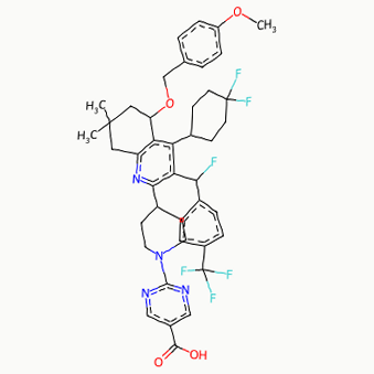 COc1ccc(COC2CC(C)(C)Cc3nc(C4CCN(c5ncc(C(=O)O)cn5)CC4)c(C(F)c4ccc(C(F)(F)F)cc4)c(C4CCC(F)(F)CC4)c32)cc1